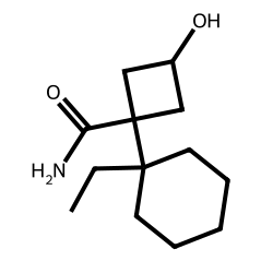 CCC1(C2(C(N)=O)CC(O)C2)CCCCC1